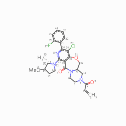 C=CC(=O)N1CCN2C(=O)c3c(N4CCC(OC)[C@@H]4C)nc(-c4ccccc4F)c(Cl)c3OCC2C1